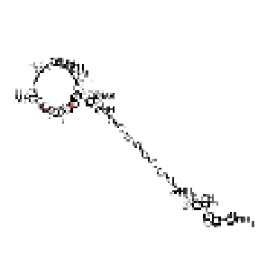 CO[C@H]1C[C@@H]2CC[C@@H](C)[C@@](O)(O2)C(=O)C(=O)N2CCCC[C@H]2C(=O)O[C@H]([C@H](N)C[C@@H]2CC[C@@H](OC(=S)NCCOCCOCCOCCOCCOCCOCCOCCOCCC(=O)NCC[S+]([O-])c3ccc(C(=O)N4CCOc5ccc(-c6ccc(N)nc6)cc5C4)c(C)c3F)[C@H](OC)C2)CC(=O)[C@H](C)/C=C(\C)[C@@H](O)[C@@H](O)C(=O)[C@H](C)C[C@H](C)/C=C/C=C/C=C/1C